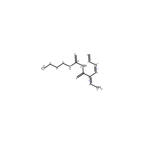 C=C/N=C\C(=C/N)C(=C)NC(=C)SCCCCl